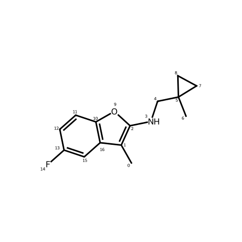 Cc1c(NCC2(C)CC2)oc2ccc(F)cc12